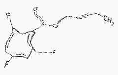 CC#CCOC(=O)c1c(F)cc(F)cc1F